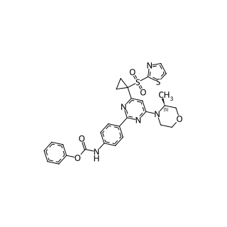 C[C@H]1COCCN1c1cc(C2(S(=O)(=O)c3nccs3)CC2)nc(-c2ccc(NC(=O)Oc3ccccc3)cc2)n1